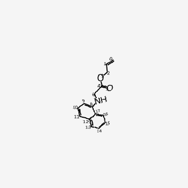 C=CCOC(=O)CNc1cccc2ccccc12